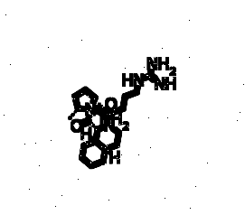 C[C@@H]1CCC[N+]1(C(N)=O)C(=O)[C@H]1[C@@H]2CCCC[C@@H]2CCN1CCCCNC(=N)N